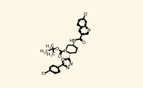 CC(C)(C)OC(=O)N1C[C@@H](NC(=O)c2cnc3cc(Cl)ccc3c2)CC[C@@H]1c1nnc(-c2ccc(Cl)cc2)o1